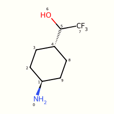 N[C@H]1CC[C@H](C(O)C(F)(F)F)CC1